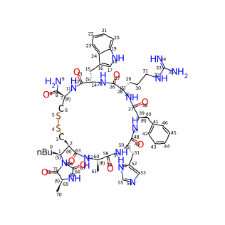 CCCC[C@@H]([C@H]1CSSC[C@@H](C(N)=O)NC(=O)[C@H](Cc2c[nH]c3ccccc23)NC(=O)[C@H](CCCNC(=N)N)NC(=O)[C@@H](Cc2ccccc2)NC(=O)[C@H](Cc2cnc[nH]2)NC(=O)[C@@H](C)NC1=O)N1C(=O)N[C@@H](C)C1=O